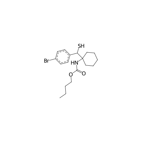 CCCCOC(=O)NC1(C(S)c2ccc(Br)cc2)CCCCC1